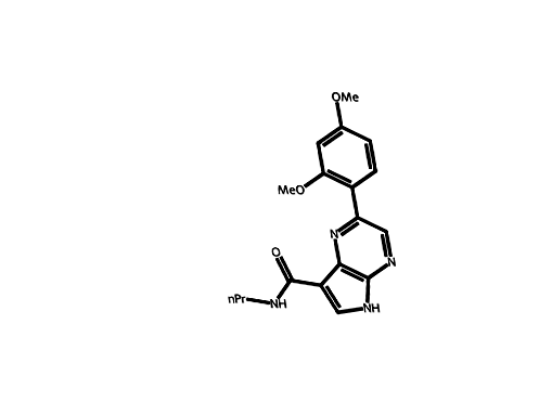 CCCNC(=O)c1c[nH]c2ncc(-c3ccc(OC)cc3OC)nc12